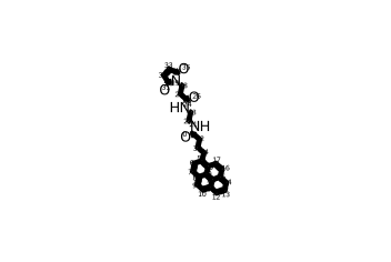 O=C(CCCc1ccc2ccc3cccc4ccc1c2c34)NCCNC(=O)CCN1C(=O)C=CC1=O